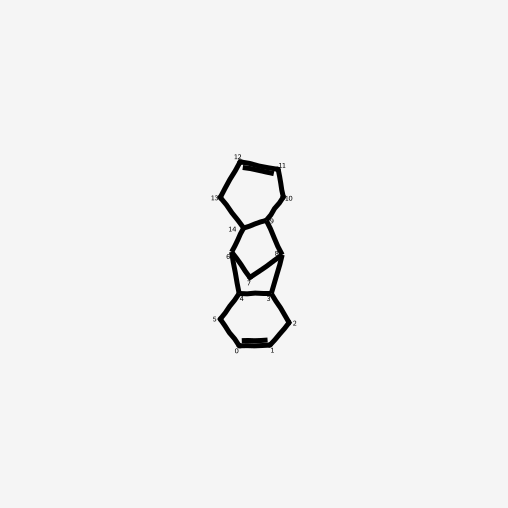 C1=CCC2C(C1)C1CC2C2CC=CCC21